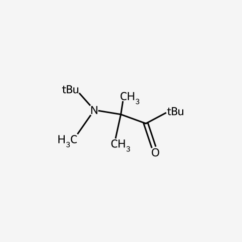 CN(C(C)(C)C)C(C)(C)C(=O)C(C)(C)C